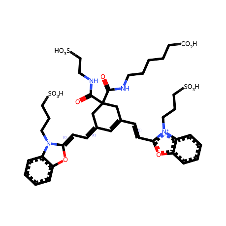 O=C(O)CCCCCNC(=O)C1(C(=O)NCCS(=O)(=O)O)CC(/C=C/c2oc3ccccc3[n+]2CCCS(=O)(=O)O)=CC(=C/C=C2\Oc3ccccc3N2CCCS(=O)(=O)O)/C1